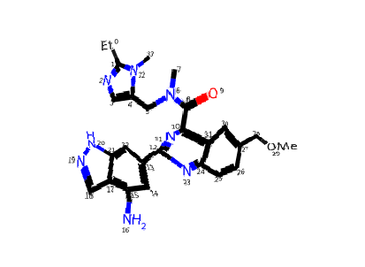 CCc1ncc(CN(C)C(=O)c2nc(-c3cc(N)c4cn[nH]c4c3)nc3ccc(COC)cc23)n1C